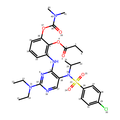 CCC(=O)Oc1c(Nc2nc(N(CC)CC)ncc2N(C(C)C)S(=O)(=O)c2ccc(Cl)cc2)cccc1OC(=O)N(C)C